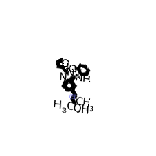 CC(C)(O)/C=C/c1ccc2nc(-c3ccco3)nc(N[C@H]3CCCC[C@@H]3O)c2c1